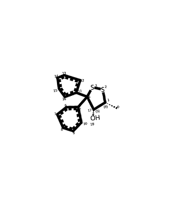 C[C@H]1SSC(c2ccccc2)(c2ccccc2)[C@H]1O